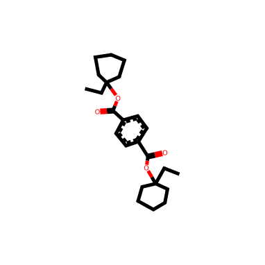 CCC1(OC(=O)c2ccc(C(=O)OC3(CC)CCCCC3)cc2)CCCCC1